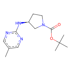 Cc1cnc(N[C@H]2CCN(C(=O)OC(C)(C)C)C2)nc1